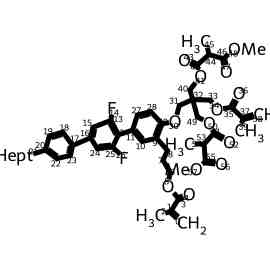 C=C(C)C(=O)OCCCc1cc(-c2c(F)cc(-c3ccc(CCCCCCC)cc3)cc2F)ccc1OCC(COC(=O)C(=C)C)(COC(=O)C(C)C(=O)OC)COC(=O)C(C)C(=O)OC